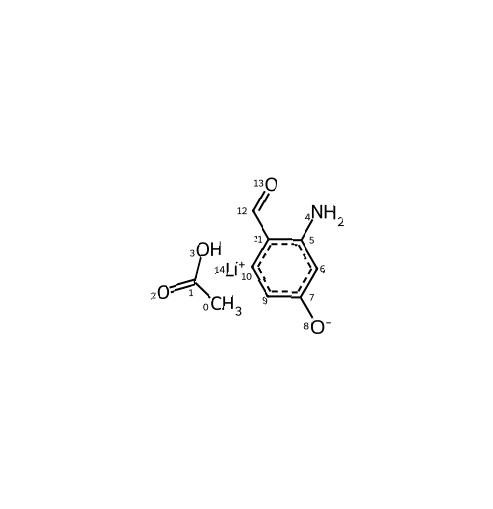 CC(=O)O.Nc1cc([O-])ccc1C=O.[Li+]